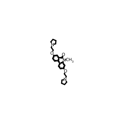 Cn1c(=O)c2cc(OCCN3CCCC3)ccc2c2ccc(OCCN3CCCC3)cc21